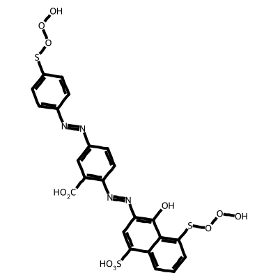 O=C(O)c1cc(/N=N/c2ccc(SOOO)cc2)ccc1/N=N/c1cc(S(=O)(=O)O)c2cccc(SOOO)c2c1O